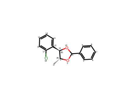 C[C@H]1OC(c2ccccc2)O[C@@H]1c1ccccc1Cl